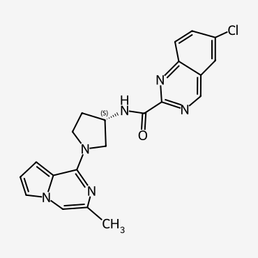 Cc1cn2cccc2c(N2CC[C@H](NC(=O)c3ncc4cc(Cl)ccc4n3)C2)n1